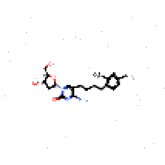 Nc1nc(=O)n([C@H]2C[C@H](O)[C@@H](CO)O2)cc1CCCCc1ccc([N+](=O)[O-])cc1[N+](=O)[O-]